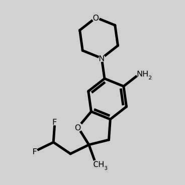 CC1(CC(F)F)Cc2cc(N)c(N3CCOCC3)cc2O1